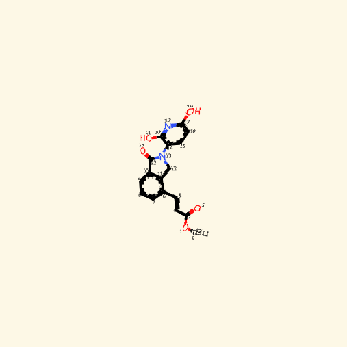 CC(C)(C)OC(=O)/C=C/c1cccc2c1CN(c1ccc(O)nc1O)C2=O